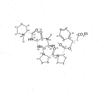 CCOC(=O)C[C@H](OC(=O)[C@@H]1CCCN1C(=O)[C@@H]1CCCN1C[C@H](C(C)C)N(C)C(=O)[C@@H](NC(=O)[C@H]1CCCCN1C)C(C)(C)C)c1ccccc1